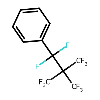 FC(F)(F)C(C(F)(F)F)(C(F)(F)F)C(F)(F)c1[c]cccc1